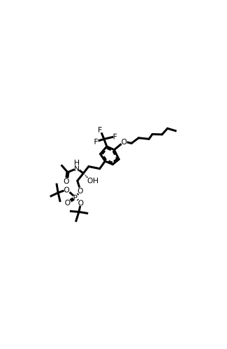 CCCCCCCOc1ccc(CC[C@@](O)(COP(=O)(OC(C)(C)C)OC(C)(C)C)NC(C)=O)cc1C(F)(F)F